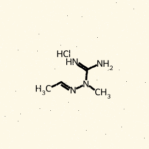 CC=NN(C)C(=N)N.Cl